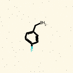 BCc1ccc(F)cc1